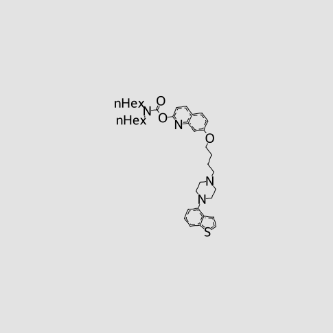 CCCCCCN(CCCCCC)C(=O)Oc1ccc2ccc(OCCCCN3CCN(c4cccc5sccc45)CC3)cc2n1